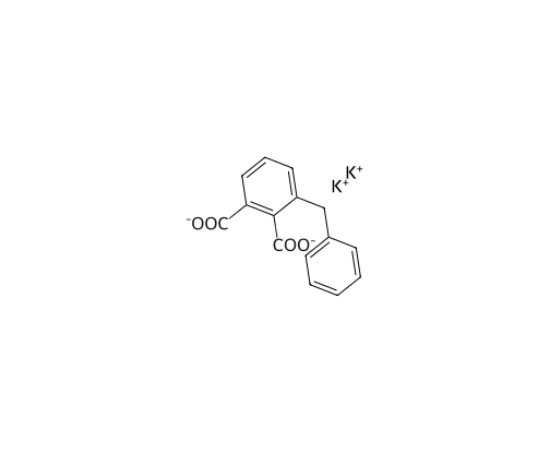 O=C([O-])c1cccc(Cc2ccccc2)c1C(=O)[O-].[K+].[K+]